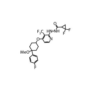 COC1(c2ccc(F)cc2)CCC(Oc2ccnc(NNC(=O)C3CC3(F)F)c2C(F)(F)F)CC1